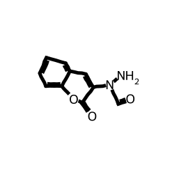 NN(C=O)c1cc2ccccc2oc1=O